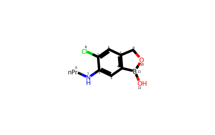 CCCNc1cc2c(cc1Cl)COB2O